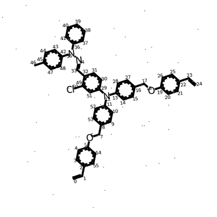 C=Cc1ccc(OCc2ccc(N(c3ccc(COc4ccc(C=C)cc4)cc3)c3ccc(C=NN(c4ccccc4)c4ccc(C)cc4)c(Cl)c3)cc2)cc1